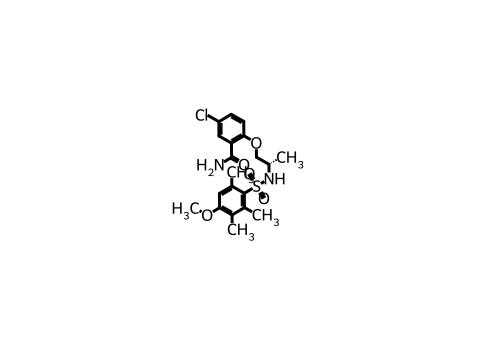 COc1cc(C)c(S(=O)(=O)N[C@@H](C)COc2ccc(Cl)cc2C(N)=O)c(C)c1C